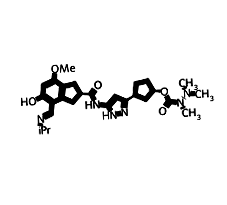 COc1cc(O)c(/C=N/C(C)C)c2c1C[C@@H](C(=O)Nc1cc([C@H]3CC[C@@H](OC(=O)N(C)N(C)C)C3)n[nH]1)C2